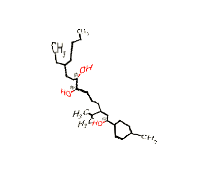 CCCCC(CC)C[C@@H](O)[C@H](O)CCCC(C[C@H](O)C1CCC(C)CC1)C(C)C